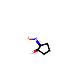 O=C1CCC/C1=N/O